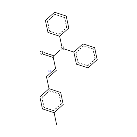 Cc1ccc(/C=C/C(=O)N(c2ccccc2)c2ccccc2)cc1